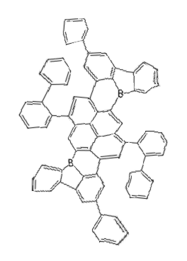 c1ccc(-c2cc3c4c(c2)-c2cc(-c5ccccc5-c5ccccc5)c5cc6c7c(cc(-c8ccccc8-c8ccccc8)c8cc(c2c5c87)B4c2ccccc2-3)-c2cc(-c3ccccc3)cc3c2B6c2ccccc2-3)cc1